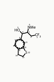 CNC(CC(F)(F)F)C(O)c1ccc2c(c1)SCC2